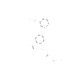 COC(=O)c1cc(Oc2ncccc2C(F)(F)F)ccc1NCC(=O)OC(C)(C)C